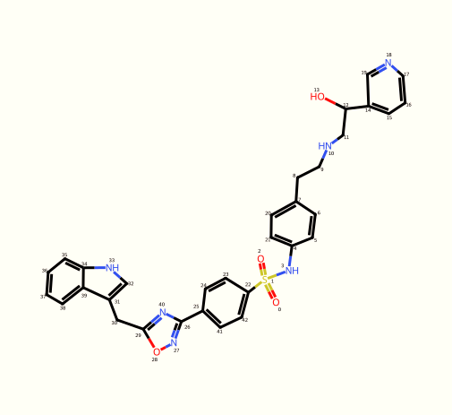 O=S(=O)(Nc1ccc(CCNCC(O)c2cccnc2)cc1)c1ccc(-c2noc(Cc3c[nH]c4ccccc34)n2)cc1